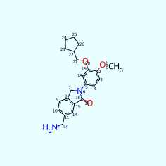 COc1ccc(N2Cc3ccc(CN)cc3C2=O)cc1OCC1CCCC1